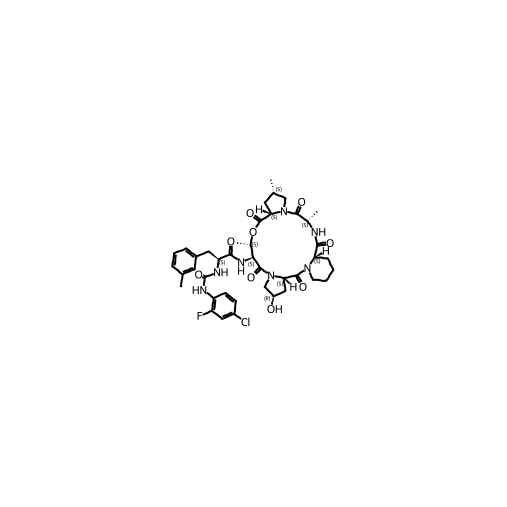 Cc1cccc(C[C@H](NC(=O)Nc2ccc(Cl)cc2F)C(=O)N[C@@H]2C(=O)N3C[C@H](O)C[C@H]3C(=O)N3CCCC[C@H]3C(=O)N[C@@H](C)C(=O)N3C[C@@H](C)C[C@H]3C(=O)O[C@H]2C)c1